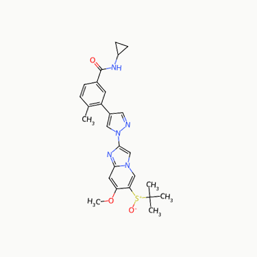 COc1cc2nc(-n3cc(-c4cc(C(=O)NC5CC5)ccc4C)cn3)cn2cc1[S+]([O-])C(C)(C)C